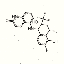 C[C@H]1C[C@](O)(C(F)(F)F)[C@@H](Nc2cccc3[nH]c(=O)ccc23)c2ccc(F)c(O)c21